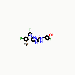 CCSc1cc(F)cc([C@H]2C[C@H](F)CN2c2ccc3ncc(C(=O)NCc4ccc(F)c(O)c4)n3n2)c1